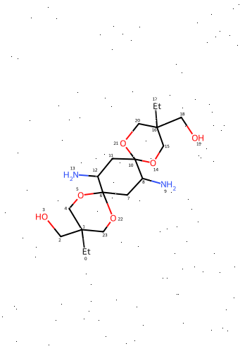 CCC1(CO)COC2(CC(N)C3(CC2N)OCC(CC)(CO)CO3)OC1